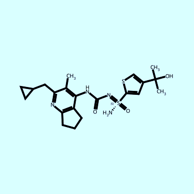 Cc1c(CC2CC2)nc2c(c1NC(=O)N=[S@](N)(=O)c1cc(C(C)(C)O)cs1)CCC2